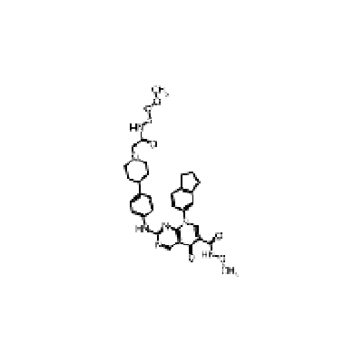 CONC(=O)c1cn(-c2ccc3c(c2)CCC3)c2nc(Nc3ccc(C4CCN(CC(=O)NSOOC)CC4)cc3)ncc2c1=O